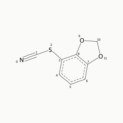 N#CSc1cccc2c1OCO2